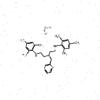 Cc1cc(C)c(NCCN(CCNc2c(C)cc(C)cc2C)Cc2ccccn2)c(C)c1.[Cl-].[Cl-].[Mn+2]